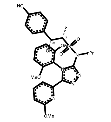 CCCN(c1nnc(-c2cccc(OC)n2)n1-c1c(OC)cccc1OC)S(=O)(=O)[C@@H](C)[C@H](O)c1ccc(C#N)cc1